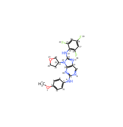 COc1ccc(Nc2ncc3nc(Nc4c(F)cc(F)cc4F)n([C@H]4CCOC4)c3n2)cc1